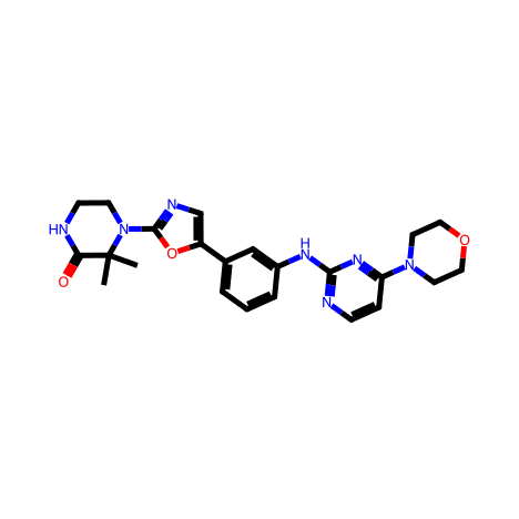 CC1(C)C(=O)NCCN1c1ncc(-c2cccc(Nc3nccc(N4CCOCC4)n3)c2)o1